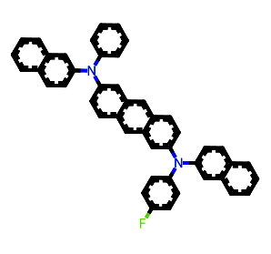 Fc1ccc(N(c2ccc3ccccc3c2)c2ccc3cc4cc(N(c5ccccc5)c5ccc6ccccc6c5)ccc4cc3c2)cc1